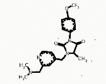 CC1C(=O)N(c2ccc(OC(F)(F)F)cc2)C(=O)N1Cc1ccnc(CN(C)C)c1